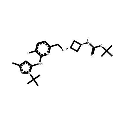 Cc1cc(Nc2nc(CO[C@H]3C[C@H](NC(=O)OC(C)(C)C)C3)ccc2F)n(C(C)(C)C)n1